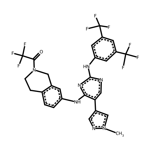 Cn1cc(-c2cnc(Nc3cc(C(F)(F)F)cc(C(F)(F)F)c3)nc2Nc2ccc3c(c2)CN(C(=O)C(F)(F)F)CC3)cn1